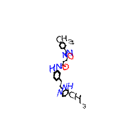 Cc1ccc(-c2noc(CCC(=O)Nc3cccc(CCc4nc5ccc(C)cc5[nH]4)c3)n2)cc1